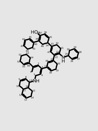 C/C(=C\C(=C/CNC1C=CCC2C=CCCC21)C1=CCCC(C2=C(NC3C=CC=CC3)CCC(C3C=CC(O)=C(C4=CC=CCC4)C3)=C2)=C1)C1=CCCCC1